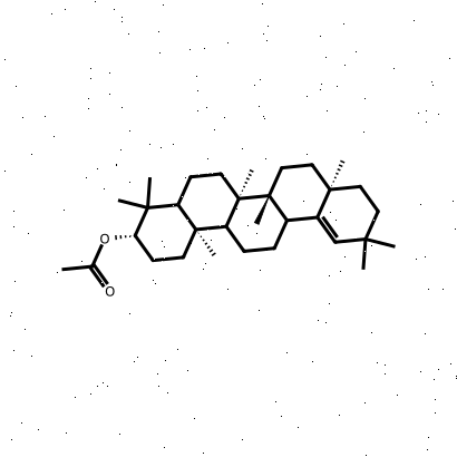 CC(=O)O[C@H]1CC[C@@]2(C)C(CC[C@]3(C)C2CCC2C4=CC(C)(C)CC[C@]4(C)CC[C@]23C)C1(C)C